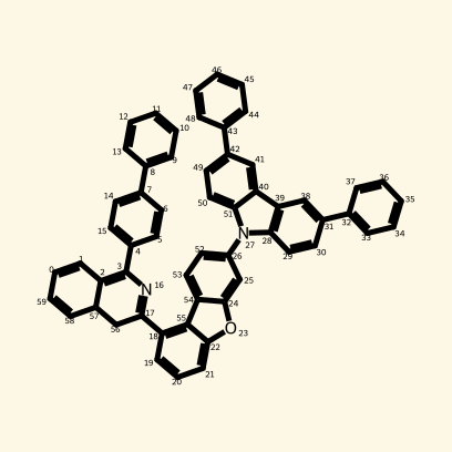 C1=CC2=C(c3ccc(-c4ccccc4)cc3)N=C(c3cccc4oc5cc(-n6c7ccc(-c8ccccc8)cc7c7cc(-c8ccccc8)ccc76)ccc5c34)CC2C=C1